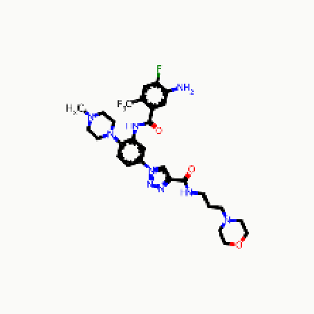 CN1CCN(c2ccc(-n3cc(C(=O)NCCCN4CCOCC4)nn3)cc2NC(=O)c2cc(N)c(F)cc2C(F)(F)F)CC1